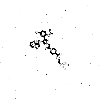 CN(C)CCOC(=O)C1CCN(C(=O)Cn2cc(Nc3cnn4cccnc34)c(-c3cc(Cl)ccc3OC(F)F)n2)CC1